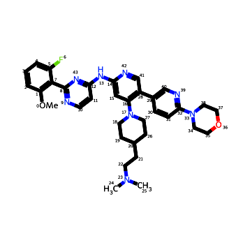 COc1cccc(F)c1-c1nccc(Nc2cc(N3CCC(CCN(C)C)CC3)c(-c3ccc(N4CCOCC4)nc3)cn2)n1